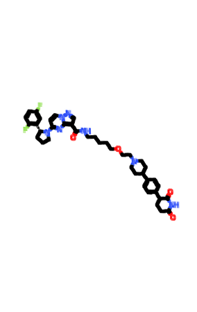 O=C1CCC(c2ccc(C3CCN(CCOCCCCCNC(=O)c4cnn5ccc(N6CCC[C@@H]6c6cc(F)ccc6F)nc45)CC3)cc2)C(=O)N1